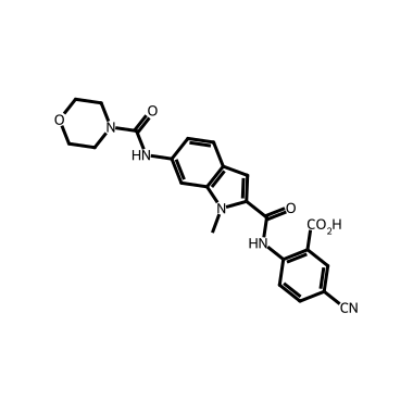 Cn1c(C(=O)Nc2ccc(C#N)cc2C(=O)O)cc2ccc(NC(=O)N3CCOCC3)cc21